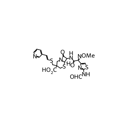 CON=C(C(=O)NC1C(=O)N2CC(CSC=Cc3cccnc3)(C(=O)O)CS[C@H]12)c1csc(NC=O)n1